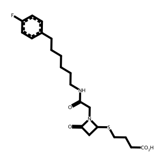 O=C(O)CCCSC1CC(=O)N1CC(=O)NCCCCCCc1ccc(F)cc1